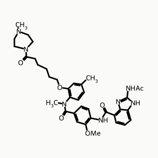 COc1cc(C(=O)N(C)c2ccc(C)cc2OCCCCCC(=O)N2CCN(C)CC2)ccc1NC(=O)c1cccc2[nH]c(NC(C)=O)nc12